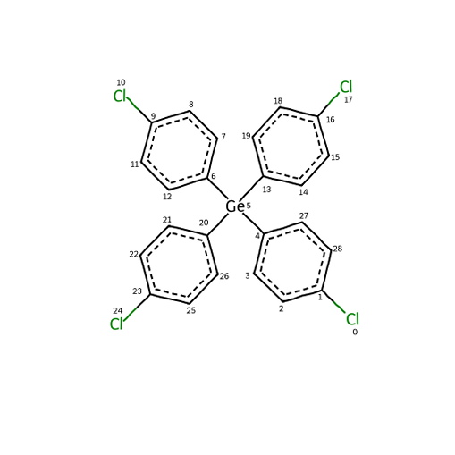 Clc1cc[c]([Ge]([c]2ccc(Cl)cc2)([c]2ccc(Cl)cc2)[c]2ccc(Cl)cc2)cc1